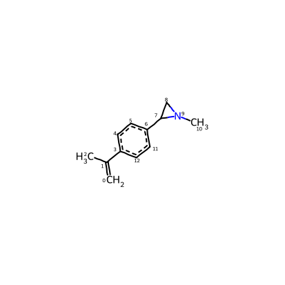 C=C(C)c1ccc(C2CN2C)cc1